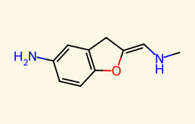 CN/C=C1/Cc2cc(N)ccc2O1